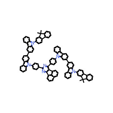 CC1(C)c2ccccc2-c2ccc(-n3c4ccccc4c4cc(-c5ccc6c7ccccc7n(-c7ccc(-c8nc(-c9ccc(-n%10c%11ccccc%11c%11ccc(-c%12ccc%13c(c%12)c%12ccccc%12n%13-c%12ccc%13c(c%12)C(C)(C)c%12ccccc%12-%13)cc%11%10)cc9)c9c(n8)-c8cccc%10cccc-9c8%10)cc7)c6c5)ccc43)cc21